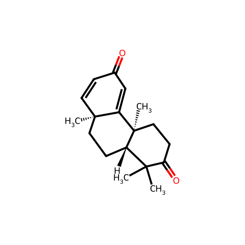 CC1(C)C(=O)CC[C@]2(C)C3=CC(=O)C=C[C@]3(C)CC[C@@H]12